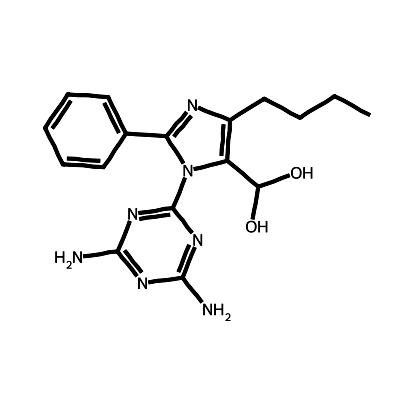 CCCCc1nc(-c2ccccc2)n(-c2nc(N)nc(N)n2)c1C(O)O